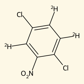 [2H]c1c([2H])c(Cl)c([N+](=O)[O-])c([2H])c1Cl